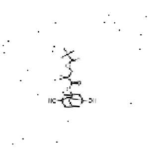 CC(C)(C)C(=O)OCC(=O)C(=O)OC12CC3CC(O)(CC(O)(C3)C1)C2